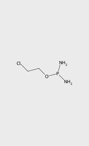 NP(N)OCCCl